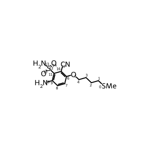 CSCCCCOc1ccc(N)c(S(N)(=O)=O)c1C#N